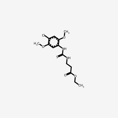 CCOC(=O)CCNC(=S)Nc1cc(OC)c(Cl)cc1OC